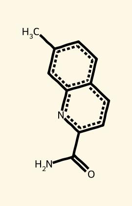 Cc1ccc2ccc(C(N)=O)nc2c1